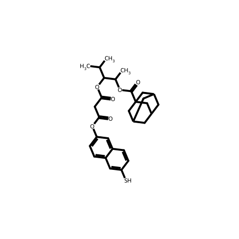 CC(C)C(OC(=O)CC(=O)Oc1ccc2cc(S)ccc2c1)C(C)OC(=O)C12CC3CC(CC(C3)C1)C2